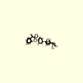 CC(C(=O)O[C@H]1CC[C@H](c2ccc(CN(C)C)cc2)CC1)c1ccccc1